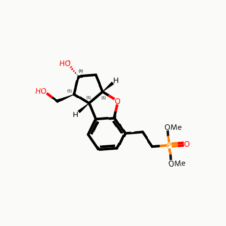 COP(=O)(CCc1cccc2c1O[C@H]1C[C@@H](O)[C@H](CO)[C@@H]21)OC